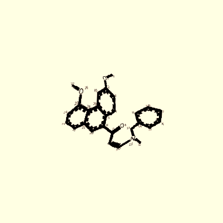 COc1ccc2c(C(=O)/C=C\N(C)Cc3ccccc3)cc3cccc(OC)c3c2c1